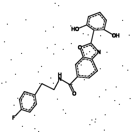 O=C(NCCc1ccc(F)cc1)c1ccc2nc(-c3c(O)cccc3O)oc2c1